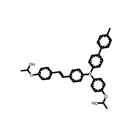 Cc1ccc(-c2ccc(N(c3ccc(C=Cc4ccc(OC(C)O)cc4)cc3)c3ccc(OC(C)O)cc3)cc2)cc1